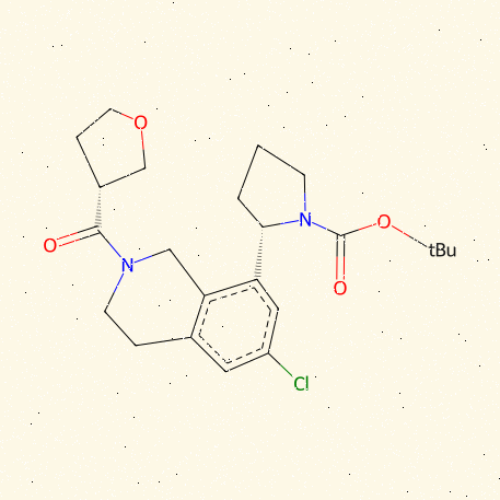 CC(C)(C)OC(=O)N1CCC[C@H]1c1cc(Cl)cc2c1CN(C(=O)[C@@H]1CCOC1)CC2